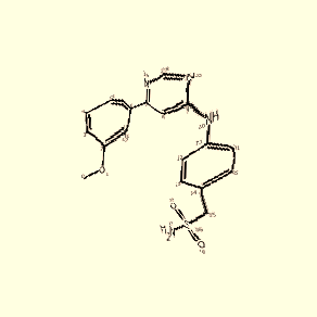 COc1cccc(-c2cc(Nc3ccc(CS(N)(=O)=O)cc3)ncn2)c1